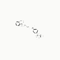 CCN(CC)S(=O)(=O)c1ccc(C(=O)OCCCNC2=NCc3ccccc32)cc1